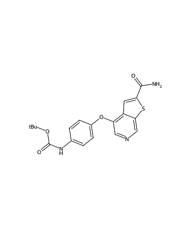 CC(C)(C)OC(=O)Nc1ccc(Oc2cncc3sc(C(N)=O)cc23)cc1